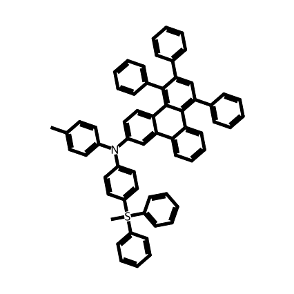 Cc1ccc(N(c2ccc(S(C)(c3ccccc3)c3ccccc3)cc2)c2ccc3c(c2)c2ccccc2c2c(-c4ccccc4)cc(-c4ccccc4)c(-c4ccccc4)c32)cc1